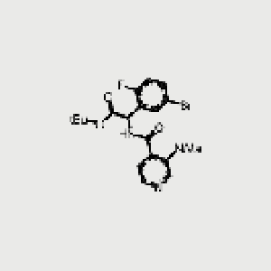 CNc1cnccc1C(=O)NC(C(=O)OC(C)(C)C)c1cc(Br)ccc1F